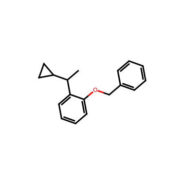 CC(c1ccccc1OCc1ccccc1)C1CC1